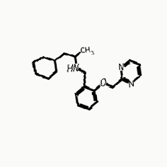 CC(CC1CCCCC1)NCc1ccccc1OCc1ncccn1